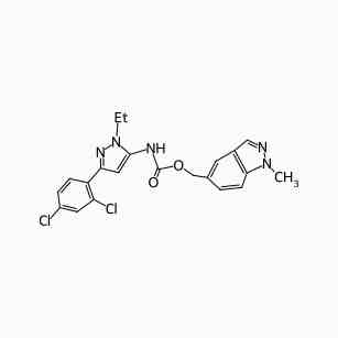 CCn1nc(-c2ccc(Cl)cc2Cl)cc1NC(=O)OCc1ccc2c(cnn2C)c1